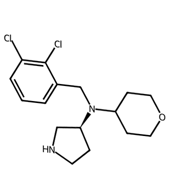 Clc1cccc(CN(C2CCOCC2)[C@H]2CCNC2)c1Cl